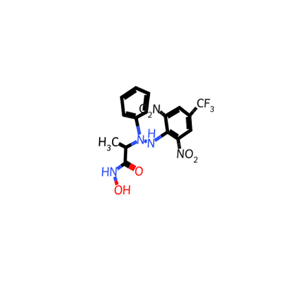 CC(C(=O)NO)N(Nc1c([N+](=O)[O-])cc(C(F)(F)F)cc1[N+](=O)[O-])c1ccccc1